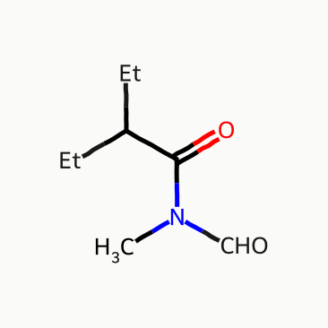 CCC(CC)C(=O)N(C)C=O